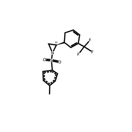 Cc1ccc(S(=O)(=O)N2C[C@H]2C2C=C(C(F)(F)F)C=CC2)cc1